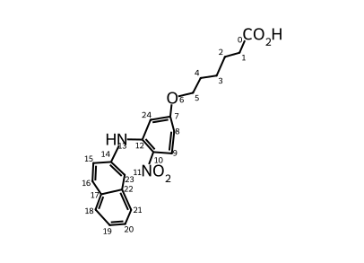 O=C(O)CCCCCOc1ccc([N+](=O)[O-])c(Nc2ccc3ccccc3c2)c1